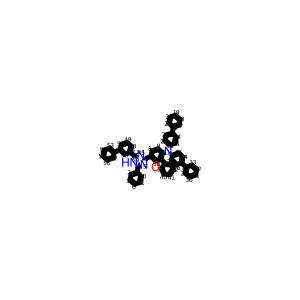 c1ccc(C2=NC(c3ccc(N(c4ccc(-c5ccccc5)cc4)c4ccc(-c5ccccc5)cc4)c4c3oc3ccccc34)=NC(c3cccc(-c4ccccc4)c3)N2)cc1